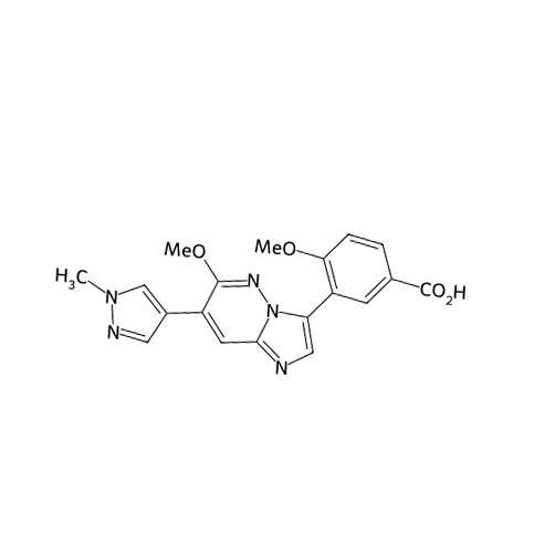 COc1ccc(C(=O)O)cc1-c1cnc2cc(-c3cnn(C)c3)c(OC)nn12